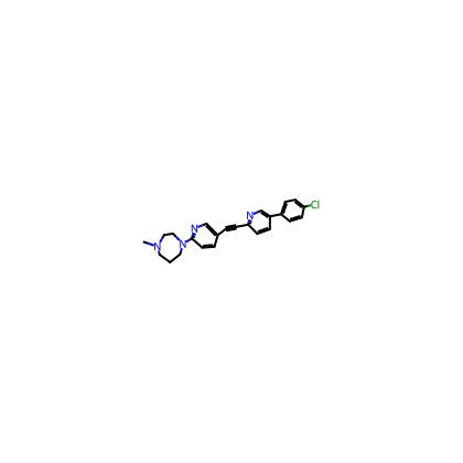 CN1CCCN(c2ccc(C#Cc3ccc(-c4ccc(Cl)cc4)cn3)cn2)CC1